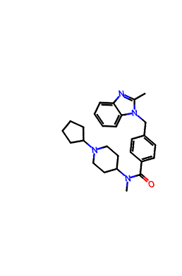 Cc1nc2ccccc2n1Cc1ccc(C(=O)N(C)C2CCN(C3CCCC3)CC2)cc1